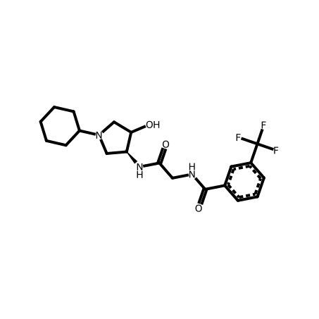 O=C(CNC(=O)c1cccc(C(F)(F)F)c1)N[C@H]1CN(C2CCCCC2)CC1O